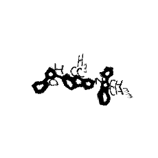 CC1(C)c2cc(-c3cccc4c3oc3ccccc34)ccc2-c2ccc(-n3c4c(c5ccccc53)C(C)(C)c3ccccc3-4)cc21